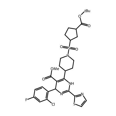 COC(=O)C1=C(C2CCN(S(=O)(=O)C3CCC(C(=O)OC(C)(C)C)C3)CC2)NC(c2nccs2)=NC1c1ccc(F)cc1Cl